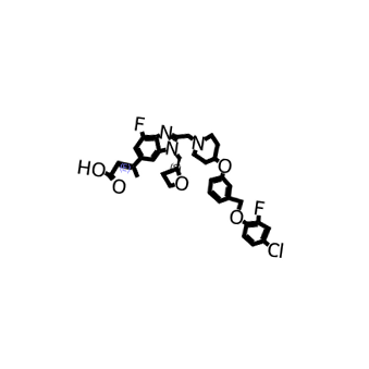 C/C(=C\C(=O)O)c1cc(F)c2nc(CN3CCC(Oc4cccc(COc5ccc(Cl)cc5F)c4)CC3)n(C[C@@H]3CCO3)c2c1